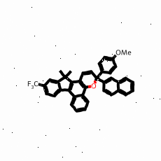 COc1ccc(C2(c3ccc4ccccc4c3)C=Cc3c4c(c5ccccc5c3O2)-c2ccc(C(F)(F)F)cc2C4(C)C)cc1